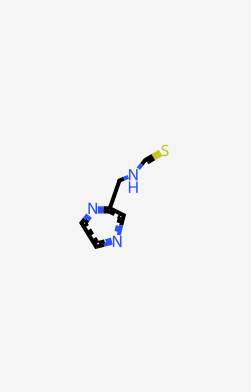 S=CNCc1cnccn1